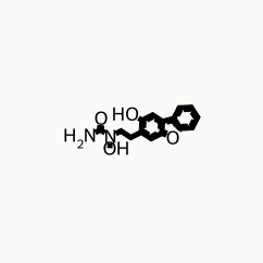 NC(=O)N(O)CCc1cc2oc3ccccc3c2cc1O